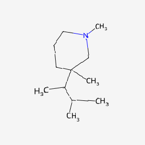 CC(C)C(C)C1(C)CCCN(C)C1